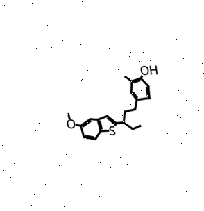 CCC(CCc1ccc(O)c(C)c1)c1cc2cc(OC)ccc2s1